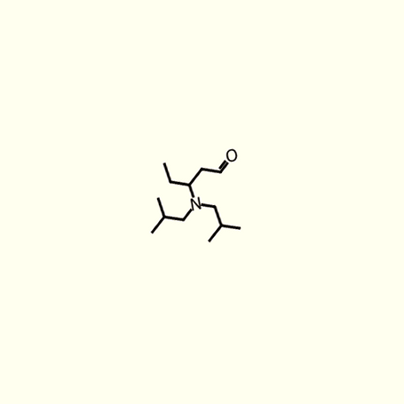 CCC(CC=O)N(CC(C)C)CC(C)C